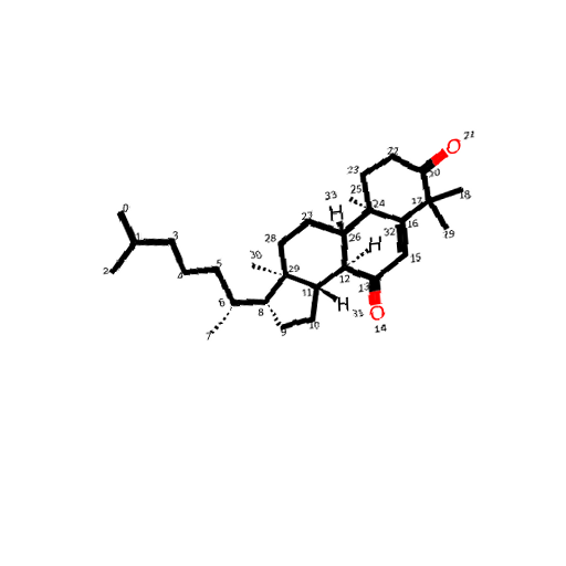 CC(C)CCC[C@@H](C)[C@H]1CC[C@H]2[C@@H]3C(=O)C=C4C(C)(C)C(=O)CC[C@]4(C)[C@H]3CC[C@]12C